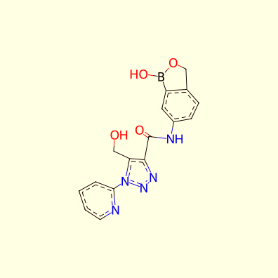 O=C(Nc1ccc2c(c1)B(O)OC2)c1nnn(-c2ccccn2)c1CO